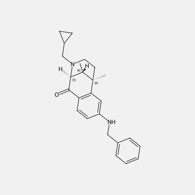 C[C@H]1[C@H]2C(=O)c3ccc(NCc4ccccc4)cc3[C@]1(C)CCN2CC1CC1